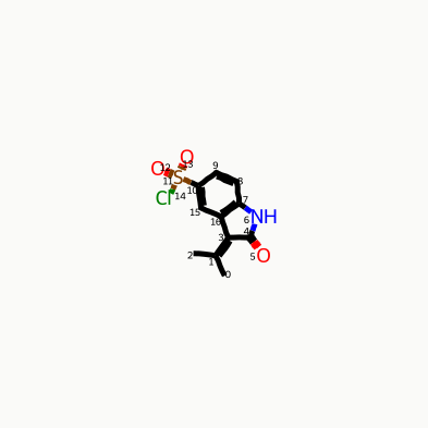 CC(C)=C1C(=O)Nc2ccc(S(=O)(=O)Cl)cc21